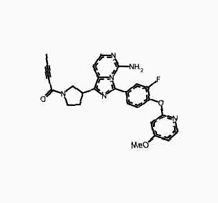 CC#CC(=O)N1CCC(c2nc(-c3ccc(Oc4cc(OC)ccn4)c(F)c3)n3c(N)nccc23)C1